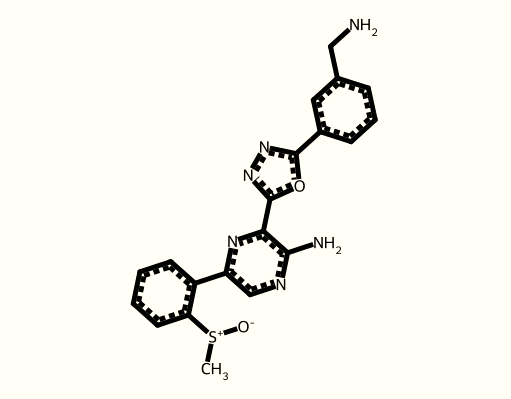 C[S+]([O-])c1ccccc1-c1cnc(N)c(-c2nnc(-c3cccc(CN)c3)o2)n1